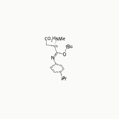 CN[C@@H](CC(=O)O)C(=Nc1ccc(C(C)C)cc1)OC(C)(C)C